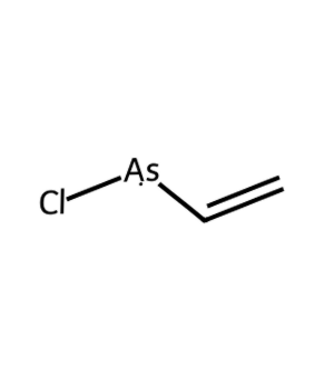 C=C[As]Cl